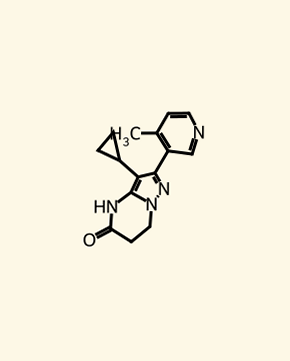 Cc1ccncc1-c1nn2c(c1C1CC1)NC(=O)CC2